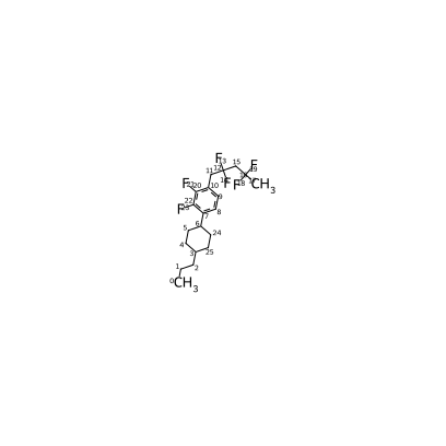 CCCC1CCC(c2ccc(CC(F)(F)CC(C)(F)F)c(F)c2F)CC1